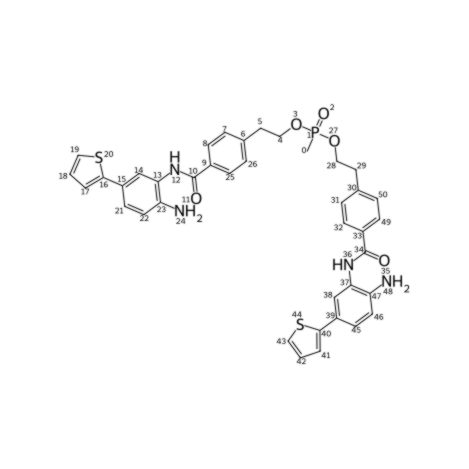 CP(=O)(OCCc1ccc(C(=O)Nc2cc(-c3cccs3)ccc2N)cc1)OCCc1ccc(C(=O)Nc2cc(-c3cccs3)ccc2N)cc1